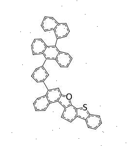 c1cc(-c2c3ccccc3c(-c3cccc4ccccc34)c3ccccc23)cc(-c2cc3oc4c(ccc5c6ccccc6sc54)c3c3ccccc23)c1